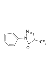 O=C1C(C(F)(F)F)C=NN1c1ccccc1